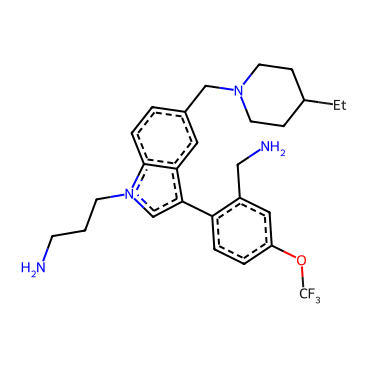 CCC1CCN(Cc2ccc3c(c2)c(-c2ccc(OC(F)(F)F)cc2CN)cn3CCCN)CC1